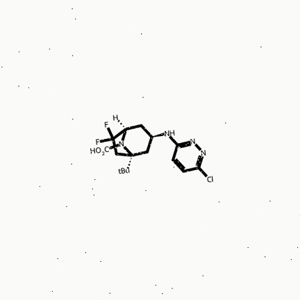 CC(C)(C)[C@@]12C[C@H](Nc3ccc(Cl)nn3)C[C@@H](N1C(=O)O)C(F)(F)C2